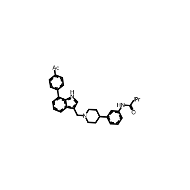 CC(=O)c1ccc(-c2cccc3c(CN4CCC(c5cccc(NC(=O)C(C)C)c5)CC4)c[nH]c23)cc1